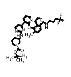 Cc1ccc2c(NCCCC(F)(F)F)cccc2c1Oc1ncccc1-c1ccnc(NC2CCCN(C(=O)OC(C)(C)C)C2)n1